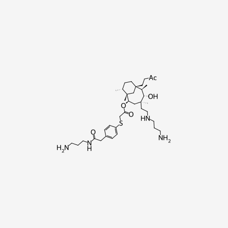 CC(=O)CC[C@]12CC[C@@H](C)[C@](C)(C1)[C@H](OC(=O)CSc1ccc(CC(=O)NCCCN)cc1)C[C@](C)(CCNCCCN)[C@@H](O)[C@@H]2C